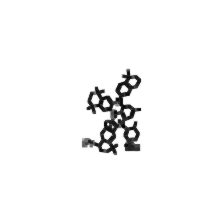 Cc1cc2c3c(c1)N(c1ccc4c(c1)CCCC4(C)C)c1cc4c(cc1B3c1oc3c(c1N2C1=CC(C(C)(C)C)=CCC1C)C=C1C(C3)C(C(C)C)CCC1(C)C)C(C)(C)CCC4(C)C